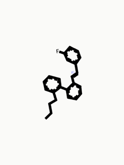 CCCCc1ccccc1-c1ccccc1/C=C/c1cccc(F)c1